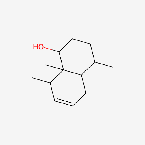 CC1CCC(O)C2(C)C(C)C=CCC12